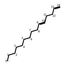 [CH2]CCCCCCCCC=CCCC=C